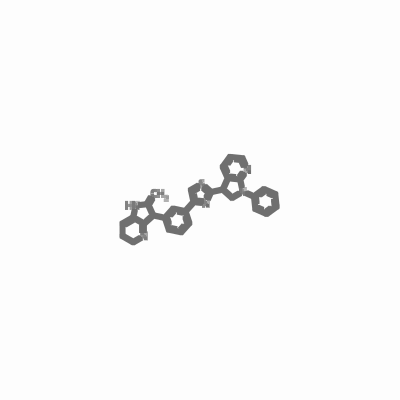 C=C1NC2=CCCN=C2C1c1cccc(-c2csc(C3CN(c4ccccc4)c4ncccc43)n2)c1